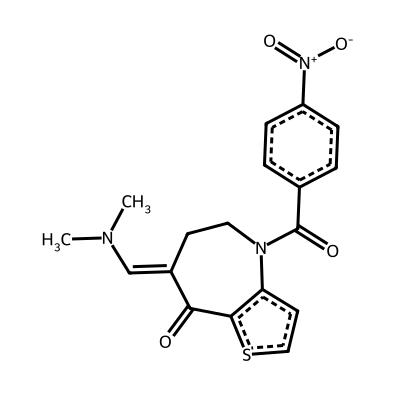 CN(C)C=C1CCN(C(=O)c2ccc([N+](=O)[O-])cc2)c2ccsc2C1=O